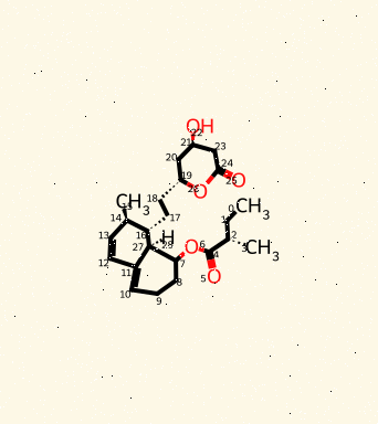 CC[C@H](C)C(=O)OC1CCC=C2C=C[C@@H](C)[C@H](CC[C@@H]3C[C@@H](O)CC(=O)O3)[C@H]21